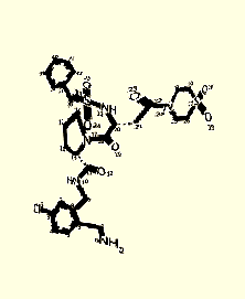 NCc1ccc(Cl)cc1CNC(=O)[C@@H]1CCCN1C(=O)[C@@H](CC(=O)N1CCS(=O)(=O)CC1)NS(=O)(=O)Cc1ccccc1